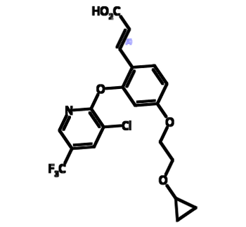 O=C(O)/C=C/c1ccc(OCCOC2CC2)cc1Oc1ncc(C(F)(F)F)cc1Cl